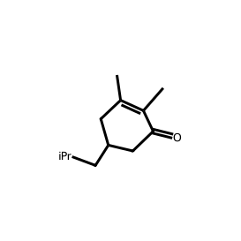 CC1=C(C)C(=O)CC(CC(C)C)C1